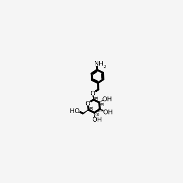 Nc1ccc(CO[C@@H]2O[C@H](CO)[C@@H](O)[C@H](O)[C@H]2O)cc1